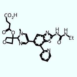 CCNC(=O)Nc1nc2cc(C3=CN(C)C(C4(OC(=O)CCC(=O)O)COC4)N=C3)cc(-c3ccccn3)c2s1